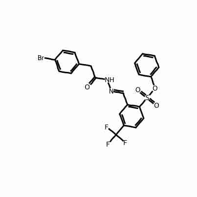 O=C(Cc1ccc(Br)cc1)N/N=C/c1cc(C(F)(F)F)ccc1S(=O)(=O)Oc1ccccc1